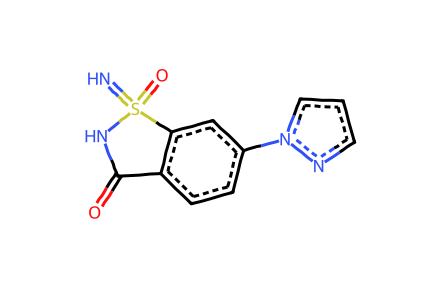 N=S1(=O)NC(=O)c2ccc(-n3cccn3)cc21